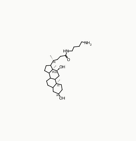 C[C@H](CCC(=O)NCCCCN)C1CCC2C3CCC4C[C@H](O)CC[C@]4(C)C3C[C@H](O)[C@@]21C